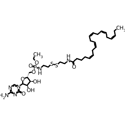 CC/C=C\C/C=C\C/C=C\C/C=C\C/C=C\CCCC(=O)NCCSSCCNP(=O)(OCC)OC[C@H]1OC(n2cnc(N)nc2=O)[C@H](O)[C@@H]1O